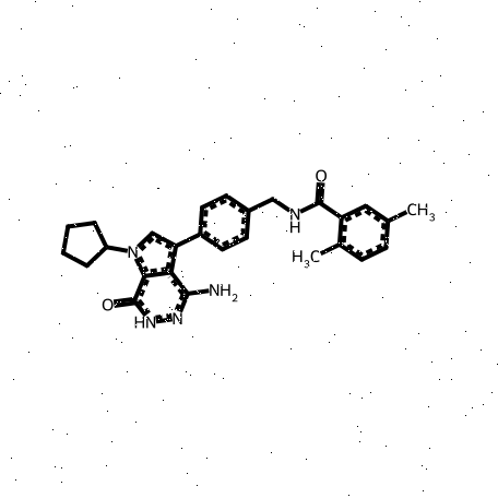 Cc1ccc(C)c(C(=O)NCc2ccc(-c3cn(C4CCCC4)c4c(=O)[nH]nc(N)c34)cc2)c1